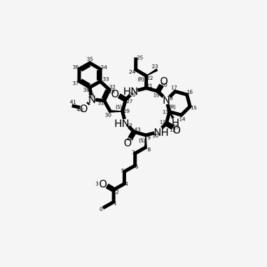 CCC(=O)CCCCC[C@@H]1NC(=O)[C@H]2CCCCN2C(=O)C([C@H](C)CC)NC(=O)[C@H](Cc2cc3ccccc3n2OC)NC1=O